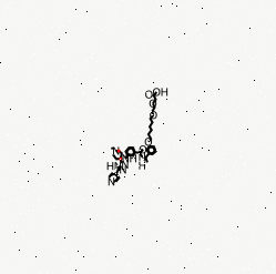 CC(NC(=O)c1cccc(NC2(c3nnc(-c4ccncc4)[nH]3)CCN(C)CC2)c1)c1cccc(OCCCCCCOCCOCC(=O)O)c1